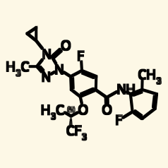 Cc1cccc(F)c1NC(=O)c1cc(F)c(-n2nc(C)n(C3CC3)c2=O)cc1O[C@@H](C)C(F)(F)F